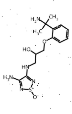 CC(C)(N)c1ccccc1OCC(O)CNc1n[s+]([O-])nc1N